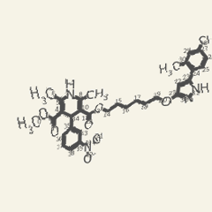 COC(=O)C1=C(C)NC(C)=C(C(=O)OCCCCCCOc2cc(-c3ccc(C)cc3C)[nH]n2)C1c1cccc([N+](=O)[O-])c1